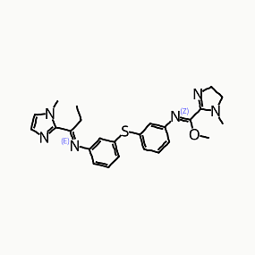 CC/C(=N\c1cccc(Sc2cccc(/N=C(\OC)C3=NCCN3C)c2)c1)c1nccn1C